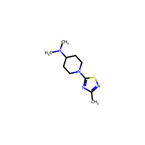 Cc1nsc(N2CCC(N(C)C)CC2)n1